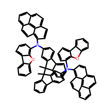 CC1(C2(C)c3ccccc3-c3ccc(N(c4ccc5ccc6cccc7ccc4c5c67)c4cccc5c4oc4ccccc45)cc32)c2ccccc2-c2ccc(N(c3ccc4ccc5cccc6ccc3c4c56)c3cccc4c3oc3ccccc34)cc21